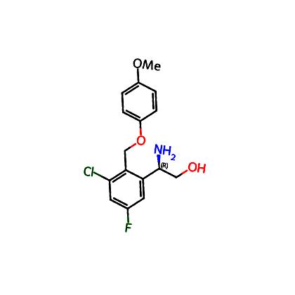 COc1ccc(OCc2c(Cl)cc(F)cc2[C@@H](N)CO)cc1